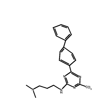 CN(C)CCCNc1nc(-c2ccc(-c3ccccc3)cc2)nc(C(Cl)(Cl)Cl)n1